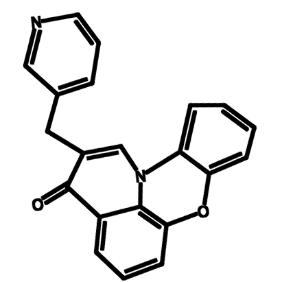 O=c1c(Cc2cccnc2)cn2c3c(cccc13)Oc1ccccc1-2